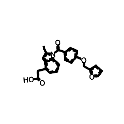 Cc1cc2c(CC(=O)O)cccc2n1C(=O)c1ccc(OCc2ccco2)cc1